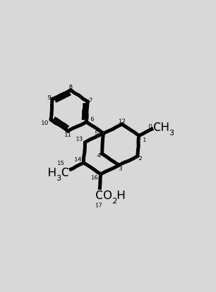 CC1CC2CC(c3ccccc3)(C1)CC(C)C2C(=O)O